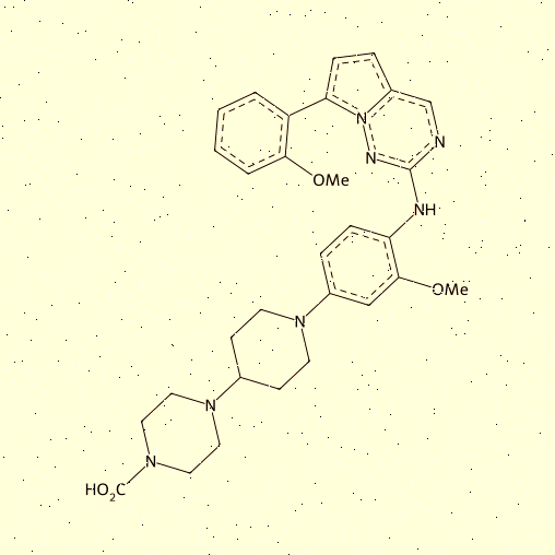 COc1cc(N2CCC(N3CCN(C(=O)O)CC3)CC2)ccc1Nc1ncc2ccc(-c3ccccc3OC)n2n1